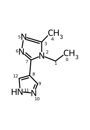 CCn1c(C)nnc1-c1cn[nH]c1